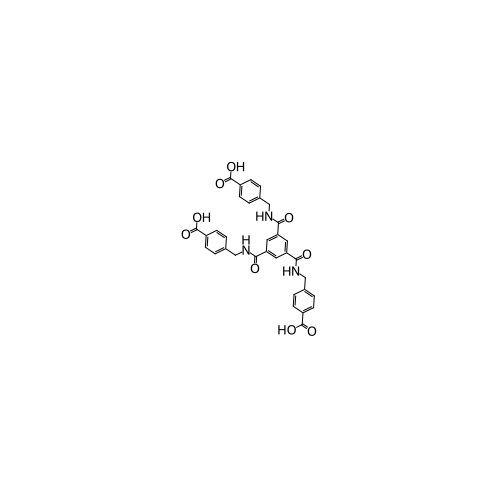 O=C(O)c1ccc(CNC(=O)c2cc(C(=O)NCc3ccc(C(=O)O)cc3)cc(C(=O)NCc3ccc(C(=O)O)cc3)c2)cc1